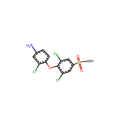 CNS(=O)(=O)c1cc(Cl)c(Oc2ccc(N)cc2Cl)c(Cl)c1